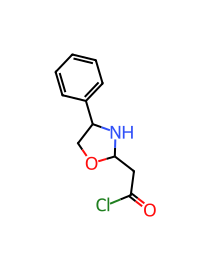 O=C(Cl)CC1NC(c2ccccc2)CO1